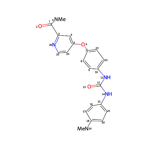 CNC(=O)c1cc(Oc2ccc(NC(=O)Nc3ccc(NC)cc3)cc2)ccn1